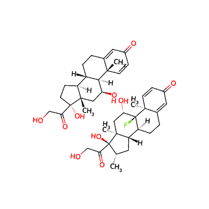 C[C@H]1C[C@H]2[C@@H]3CCC4=CC(=O)C=C[C@]4(C)[C@@]3(F)[C@@H](O)C[C@]2(C)[C@@]1(O)C(=O)CO.C[C@]12C=CC(=O)C=C1CC[C@@H]1[C@@H]2[C@@H](O)C[C@@]2(C)[C@H]1CC[C@]2(O)C(=O)CO